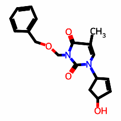 Cc1cn(C2C=CC(O)C2)c(=O)n(COCc2ccccc2)c1=O